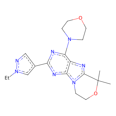 CCn1cc(-c2nc(N3CCOCC3)c3nc4n(c3n2)CCOC4(C)C)cn1